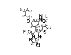 Cc1cccc(Oc2cc(-c3c(-c4cccs4)nc4c(Cl)cnn4c3C(F)(F)F)cc([N+](N)=O)c2)c1